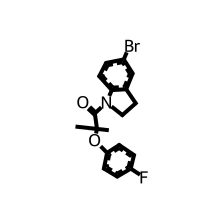 CC(C)(Oc1ccc(F)cc1)C(=O)N1CCc2cc(Br)ccc21